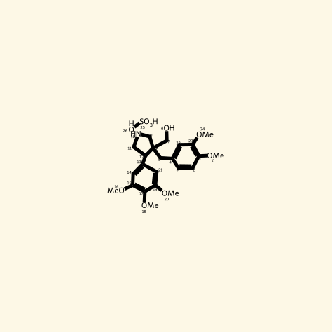 COc1ccc(CC2(CO)CNCC2c2cc(OC)c(OC)c(OC)c2)cc1OC.O=S(=O)(O)O